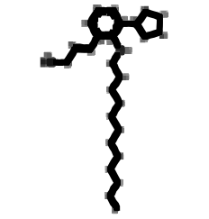 CCCCCCCCCCCCOc1c(C=CCO)cccc1C1CCCC1